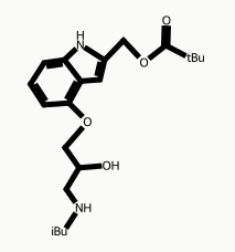 CCC(C)NCC(O)COc1cccc2[nH]c(COC(=O)C(C)(C)C)cc12